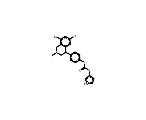 CN1Cc2c(Cl)cc(Cl)cc2C(c2ccc(NC(=O)Oc3cc[nH]c3)cc2)C1